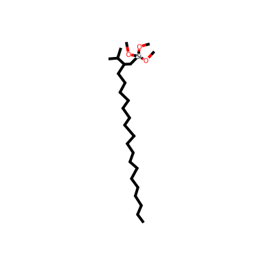 CCCCCCCCCCCCCCCCCCC(C[Si](OC)(OC)OC)[C](C)C